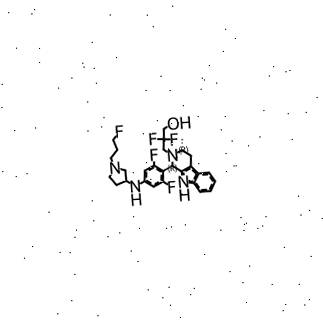 C[C@@H]1Cc2c([nH]c3ccccc23)[C@@H](c2c(F)cc(NC3CCN(CCCF)C3)cc2F)N1CC(F)(F)CO